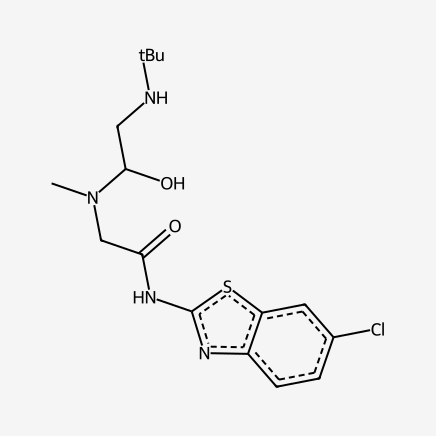 CN(CC(=O)Nc1nc2ccc(Cl)cc2s1)C(O)CNC(C)(C)C